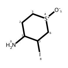 NC1CC[S+]([O-])CC1I